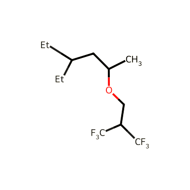 CCC(CC)CC(C)OCC(C(F)(F)F)C(F)(F)F